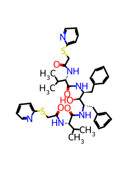 CC(C)[C@H](NC(=O)CSc1ccccn1)C(=O)N[C@@H](Cc1ccccc1)C(O)[C@H](Cc1ccccc1)NC(=O)[C@@H](NC(=O)CSc1ccccn1)C(C)C